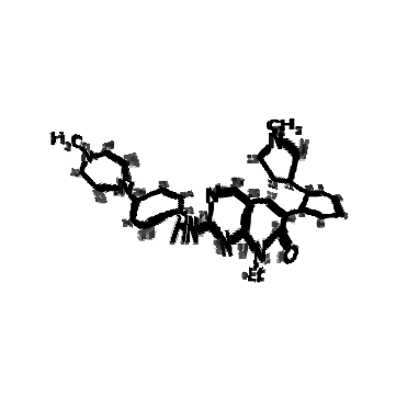 CCn1c(=O)c(-c2ccccc2C2CCN(C)C2)cc2cnc(Nc3ccc(N4CCN(C)CC4)cc3)nc21